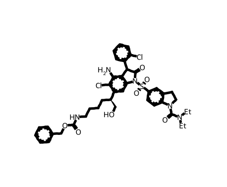 CCN(CC)C(=O)N1CCc2cc(S(=O)(=O)N3C(=O)C(c4ccccc4Cl)c4c3cc([C@@H](CO)CCCCNC(=O)OCc3ccccc3)c(Cl)c4N)ccc21